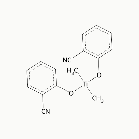 [CH3][Ti]([CH3])([O]c1ccccc1C#N)[O]c1ccccc1C#N